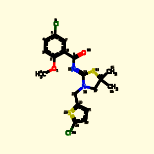 COc1ccc(Cl)cc1C(=O)N=C1SC(C)(C)CN1Cc1ccc(Cl)s1